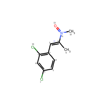 C/C(=C\c1ccc(Cl)cc1Cl)[N+](C)=O